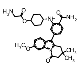 COc1ccc2c(-c3ccc(C(N)=O)c(N[C@H]4CC[C@H](OC(=O)CN)CC4)c3)c3n(c2c1)C(=O)CC(C)(C)C3